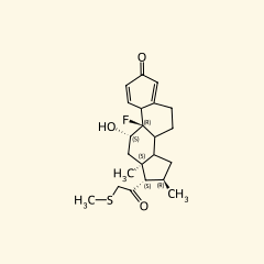 CSCC(=O)[C@H]1[C@H](C)CC2C3CCC4=CC(=O)C=CC4[C@@]3(F)[C@@H](O)C[C@@]21C